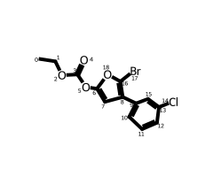 CCOC(=O)Oc1cc(-c2cccc(Cl)c2)c(Br)o1